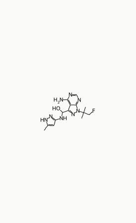 Cc1cc(NC(O)c2nn(C(C)(C)CF)c3ncnc(N)c23)n[nH]1